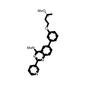 CNc1nc(-c2cccnc2)nc2ccc(-c3cccc(OCC[C@@H](C)OC)c3)cc12